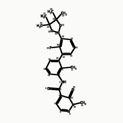 Cc1c(NC(=O)c2ccnn(C)c2=O)cccc1-c1cccc(B2OC(C)(C)C(C)(C)O2)c1F